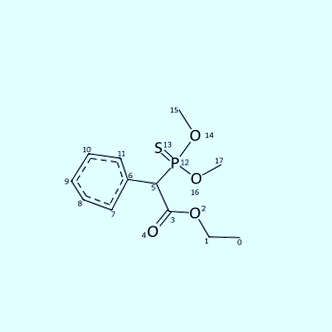 CCOC(=O)C(c1ccccc1)P(=S)(OC)OC